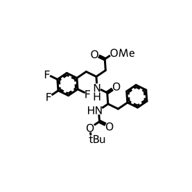 COC(=O)CC(Cc1cc(F)c(F)cc1F)NC(=O)C(Cc1ccccc1)NC(=O)OC(C)(C)C